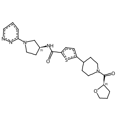 O=C(N[C@H]1CCN(c2cccnn2)C1)c1ccc(C2CCN(C(=O)[C@H]3CCCO3)CC2)s1